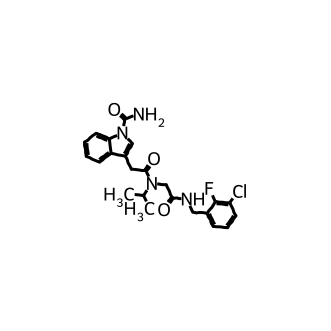 CC(C)N(CC(=O)NCc1cccc(Cl)c1F)C(=O)Cc1cn(C(N)=O)c2ccccc12